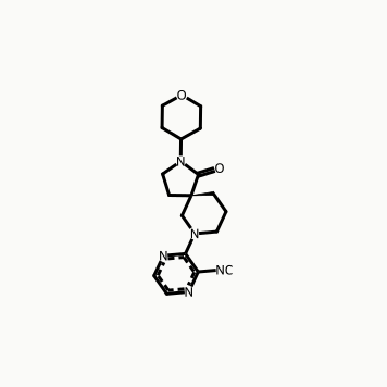 [C-]#[N+]c1nccnc1N1CCC[C@]2(CCN(C3CCOCC3)C2=O)C1